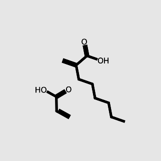 C=C(CCCCCC)C(=O)O.C=CC(=O)O